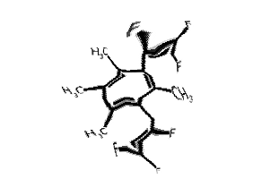 Cc1c(C)c(C(F)=C(F)F)c(C)c(C(F)=C(F)F)c1C